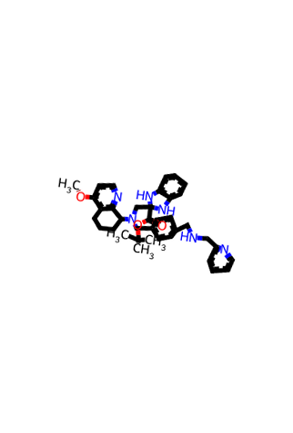 COc1ccnc2c1CCCC2N(Cc1ccc(CNCc2ccccn2)cc1)CC1(C(=O)OC(C)(C)C)Nc2ccccc2N1